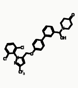 O=C1CCN(C(O)c2cccc(-c3ccc(OCc4cc(C(F)(F)F)nn4-c4c(Cl)cccc4Cl)cc3)c2)CC1